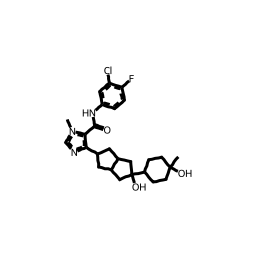 Cn1cnc(C2CC3CC(O)(C4CCC(C)(O)CC4)CC3C2)c1C(=O)Nc1ccc(F)c(Cl)c1